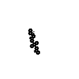 CC1(C)c2ccccc2-c2ccc(-c3c4ccccc4c(-c4ccc5c(c4)-c4ccc6sc7c8ccccc8ccc7c6c4C5(C)C)c4ccccc34)cc21